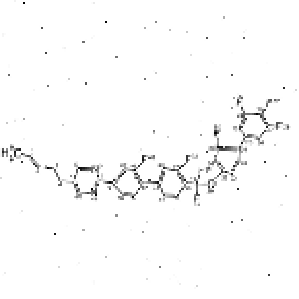 C/C=C/CCc1cnc(-c2ccc(-c3ccc(C(F)(F)Oc4ccc(-c5cc(F)c(F)c(F)c5)c(F)c4)c(F)c3)c(F)c2)nc1